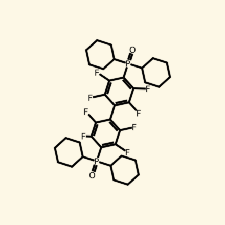 O=P(c1c(F)c(F)c(-c2c(F)c(F)c(P(=O)(C3CCCCC3)C3CCCCC3)c(F)c2F)c(F)c1F)(C1CCCCC1)C1CCCCC1